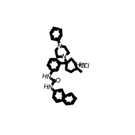 CC1CCC(c2cccc(NC(=O)Nc3ccc4ccccc4c3)c2)(N2CCN(c3ccccc3)CC2)CC1.Cl.Cl